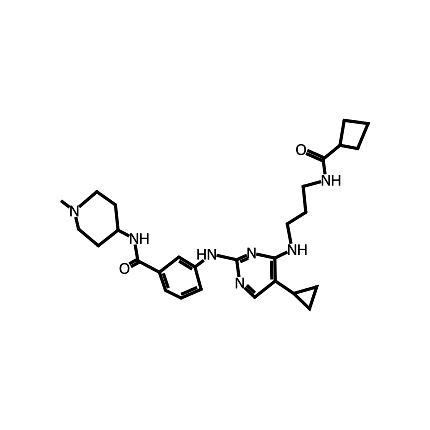 CN1CCC(NC(=O)c2cccc(Nc3ncc(C4CC4)c(NCCCNC(=O)C4CCC4)n3)c2)CC1